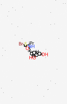 CC(C)C(NC(=O)C[C@@H](C)C1CC[C@H]2C3C(O)CC4C[C@H](O)CCC4(C)[C@H]3CCC12C)c1ccc(Br)s1